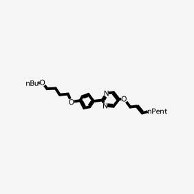 CCCCC/C=C/COc1cnc(-c2ccc(OCCCCOCCCC)cc2)nc1